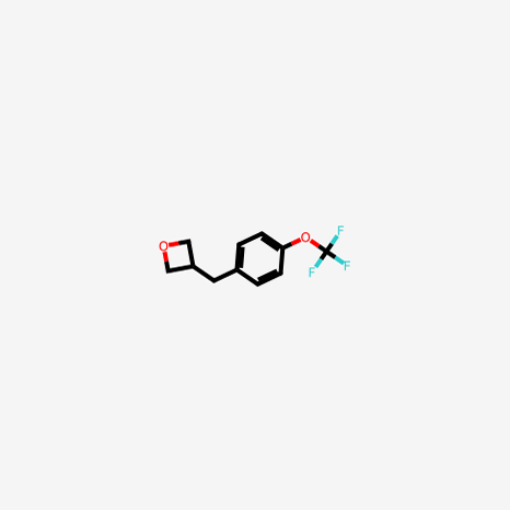 FC(F)(F)Oc1ccc(CC2COC2)cc1